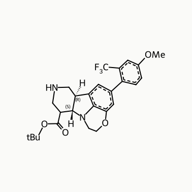 COc1ccc(-c2cc3c4c(c2)[C@@H]2CNCC(C(=O)OC(C)(C)C)[C@H]2N4CCO3)c(C(F)(F)F)c1